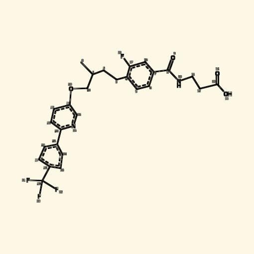 CC(CCc1ccc(C(=O)NCCC(=O)O)cc1F)COc1ccc(-c2ccc(C(F)(F)F)cc2)nc1